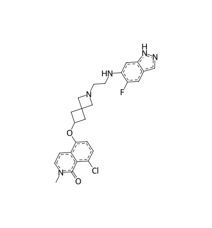 Cn1ccc2c(OC3CC4(C3)CN(CCNc3cc5[nH]ncc5cc3F)C4)ccc(Cl)c2c1=O